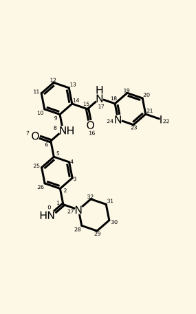 N=C(c1ccc(C(=O)Nc2ccccc2C(=O)Nc2ccc(I)cn2)cc1)N1CCCCC1